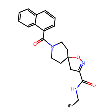 CC(C)CNC(=O)C1=NOC2(CCN(C(=O)c3cccc4ccccc34)CC2)C1